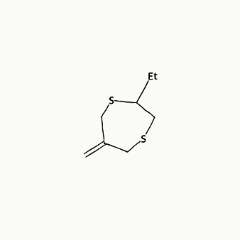 C=C1CSCC(CC)SC1